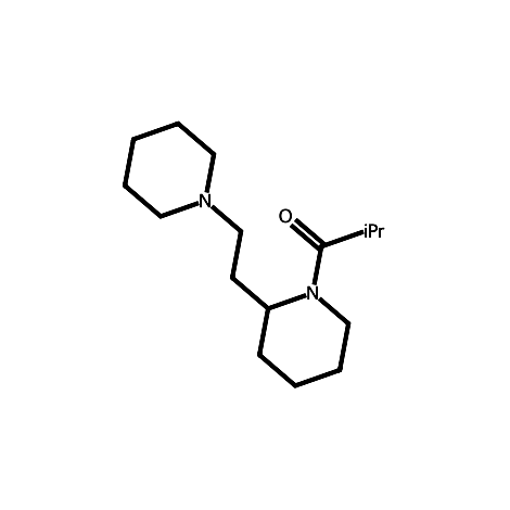 CC(C)C(=O)N1CCCCC1CCN1CCCCC1